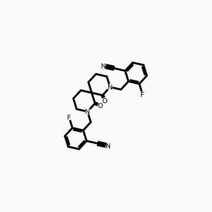 N#Cc1cccc(F)c1CN1CCCC2(CCCN(Cc3c(F)cccc3C#N)C2=O)C1=O